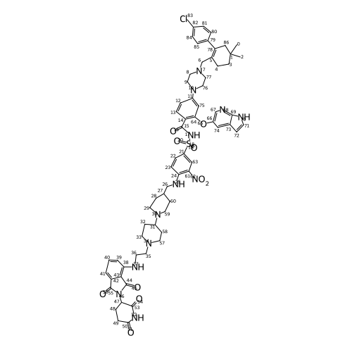 CC1(C)CCC(CN2CCN(c3ccc(C(=O)NS(=O)(=O)c4ccc(NCC5CCN(C6CCN(CCNc7cccc8c7C(=O)N(C7CCC(=O)NC7=O)C8=O)CC6)CC5)c([N+](=O)[O-])c4)c(Oc4cnc5[nH]ccc5c4)c3)CC2)=C(c2ccc(Cl)cc2)C1